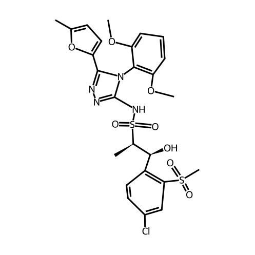 COc1cccc(OC)c1-n1c(NS(=O)(=O)[C@H](C)[C@@H](O)c2ccc(Cl)cc2S(C)(=O)=O)nnc1-c1ccc(C)o1